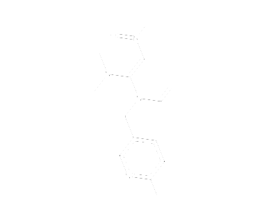 CN(C)C(=C[N+](=O)[O-])N(C=O)Cc1ccc(F)nc1